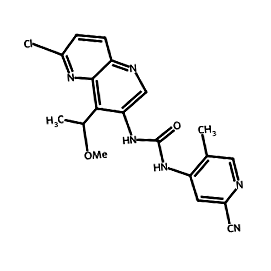 COC(C)c1c(NC(=O)Nc2cc(C#N)ncc2C)cnc2ccc(Cl)nc12